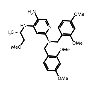 COC[C@H](C)Nc1cc(N(Cc2ccc(OC)cc2OC)Cc2ccc(OC)cc2OC)ncc1N